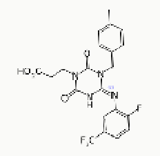 Cc1ccc(Cn2c(=O)n(CCC(=O)O)c(=O)[nH]/c2=N\c2cc(C(F)(F)F)ccc2F)cc1